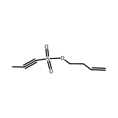 C=CCCOS(=O)(=O)C#CC